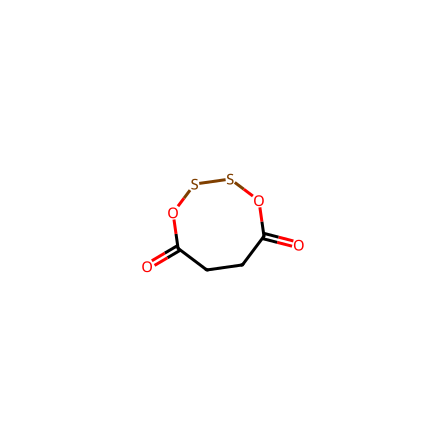 O=C1CCC(=O)OSSO1